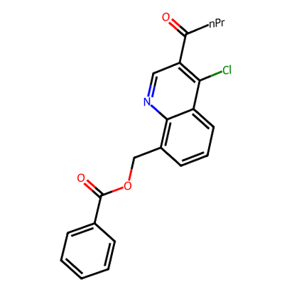 CCCC(=O)c1cnc2c(COC(=O)c3ccccc3)cccc2c1Cl